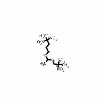 CC(OCCCC(C)([N+](=O)[O-])[N+](=O)[O-])OCC(C)([N+](=O)[O-])[N+](=O)[O-]